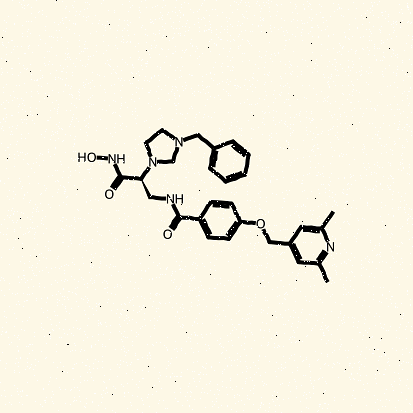 Cc1cc(COc2ccc(C(=O)NC[C@@H](C(=O)NO)N3CCN(Cc4ccccc4)C3)cc2)cc(C)n1